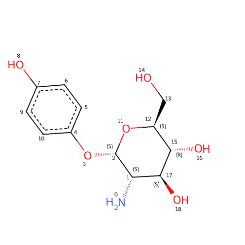 N[C@@H]1[C@H](Oc2ccc(O)cc2)O[C@@H](CO)[C@H](O)[C@H]1O